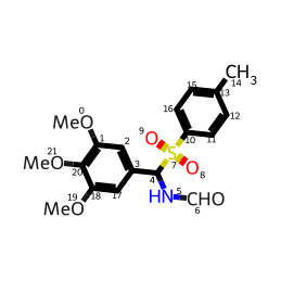 COc1cc(C(NC=O)S(=O)(=O)c2ccc(C)cc2)cc(OC)c1OC